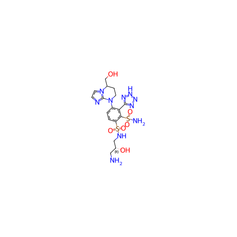 NC[C@@H](O)CNS(=O)(=O)c1ccc(N2CCC(CO)n3ccnc32)c(-c2nn[nH]n2)c1S(N)(=O)=O